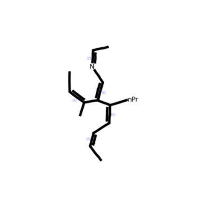 C/C=C\C=C(CCC)/C(=C/N=C\C)C(/C)=C\C